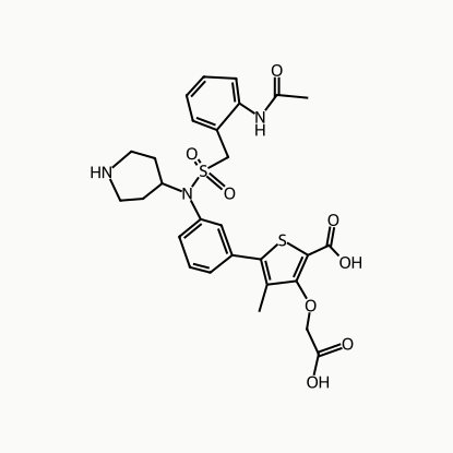 CC(=O)Nc1ccccc1CS(=O)(=O)N(c1cccc(-c2sc(C(=O)O)c(OCC(=O)O)c2C)c1)C1CCNCC1